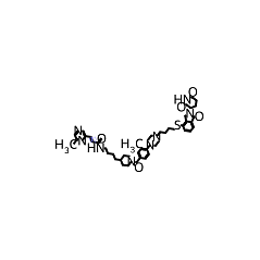 Cc1cncc(/C=C/C(=O)NCCCCC2CCN(C(=O)c3ccc(N4CCN(CCCCSc5cccc6c5CN(C5CCC(=O)NC5=O)C6=O)CC4)c(C)c3)CC2)n1